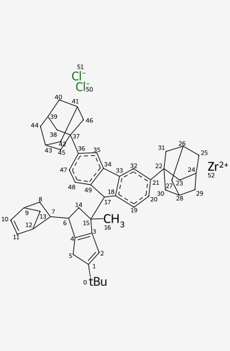 CC(C)(C)C1=CC2=C(C1)C(C1CC3C=CC1C3)CC2(C)C1c2ccc(C34CC5CC(CC(C5)C3)C4)cc2-c2cc(C34CC5CC(CC(C5)C3)C4)ccc21.[Cl-].[Cl-].[Zr+2]